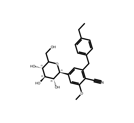 CCc1ccc(Cc2cc([C@@H]3OC(CO)[C@@H](O)[C@H](O)[C@H]3O)cc(OC)c2C#N)cc1